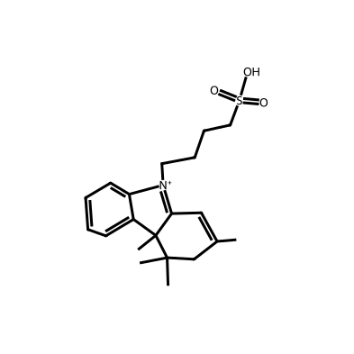 CC1=CC2=[N+](CCCCS(=O)(=O)O)c3ccccc3C2(C)C(C)(C)C1